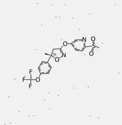 C[C@@]1(c2ccc(OC(F)(F)F)cc2)CC(Oc2ccc(S(C)(=O)=O)nc2)=NO1